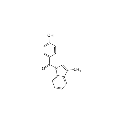 Cc1cn(C(=O)c2ccc(O)cc2)c2ccccc12